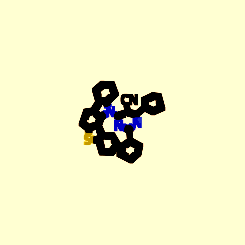 N#Cc1c(-c2ccccc2)nc(-c2ccccc2)nc1-n1c2ccccc2c2ccc3sc4ccccc4c3c21